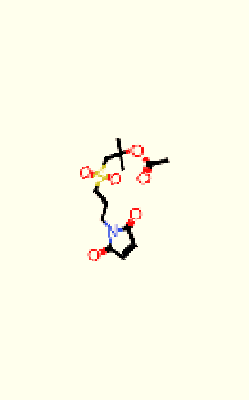 CC(=O)OC(C)(C)CS(=O)(=O)CCCN1C(=O)C=CC1=O